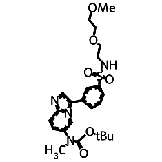 COCCOCCNS(=O)(=O)c1cccc(-c2cnc3ccc(N(C)C(=O)OC(C)(C)C)cn23)c1